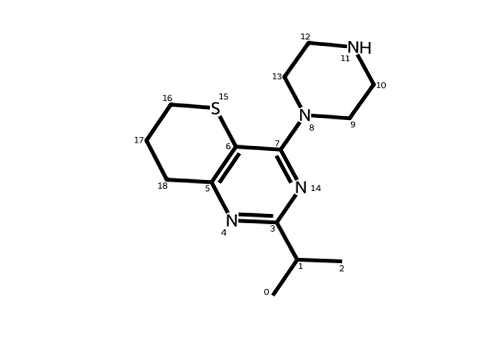 CC(C)c1nc2c(c(N3CCNCC3)n1)SCCC2